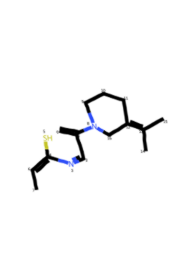 C=C(/C=N\C(S)=C/C)N1CCCC(=C(C)C)C1